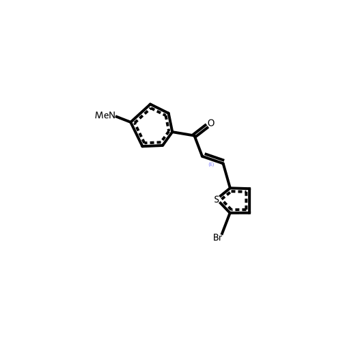 CNc1ccc(C(=O)/C=C/c2ccc(Br)s2)cc1